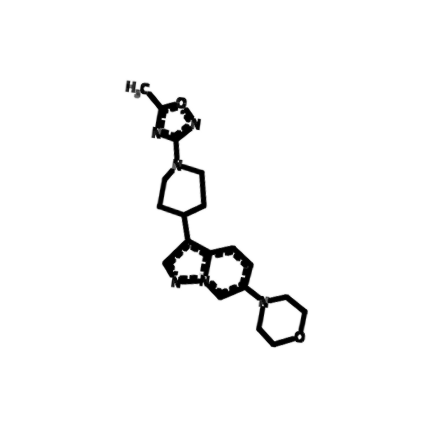 Cc1nc(N2CCC(c3cnn4cc(N5CCOCC5)ccc34)CC2)no1